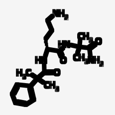 CC(C)(NC(=O)[C@@H](CCCN)NC(=O)C(C)(C)c1ccccc1)C(N)=O